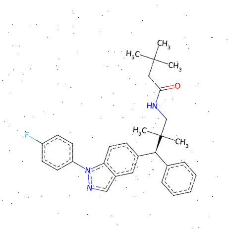 CC(C)(C)CC(=O)NCC(C)(C)[C@@H](c1ccccc1)c1ccc2c(cnn2-c2ccc(F)cc2)c1